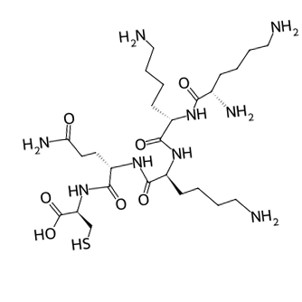 NCCCC[C@H](NC(=O)[C@H](CCCCN)NC(=O)[C@@H](N)CCCCN)C(=O)N[C@@H](CCC(N)=O)C(=O)N[C@@H](CS)C(=O)O